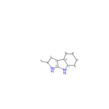 CC1CC2C(N1)NC1CCCCC12